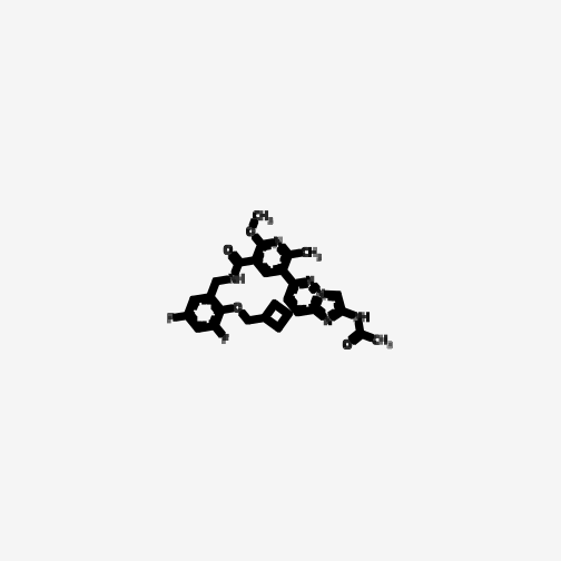 COc1nc(C)c(-c2ccc3nc(NC(C)=O)cn3n2)cc1C(=O)NCc1cc(F)cc(F)c1OCC1CCC1